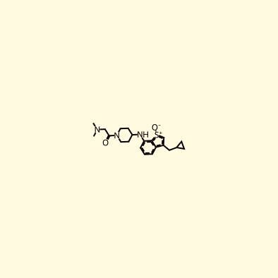 CN(C)CC(=O)N1CCC(Nc2cccc3c(CC4CC4)c[s+]([O-])c23)CC1